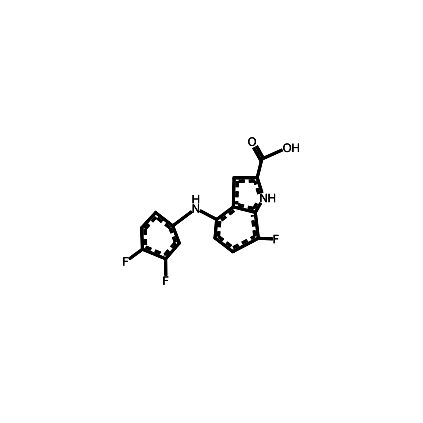 O=C(O)c1cc2c(Nc3ccc(F)c(F)c3)ccc(F)c2[nH]1